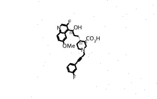 COc1ccc2ncc(F)c([C@@H](O)CC[C@H]3CCN(CC#Cc4cccc(F)c4)C[C@H]3C(=O)O)c2c1